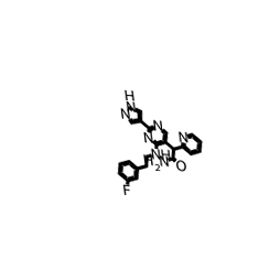 NC(=O)C(c1ccccn1)c1cnc(-c2cn[nH]c2)nc1NCCc1cccc(F)c1